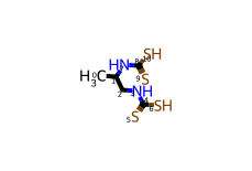 CC(CNC(=S)S)NC(=S)S